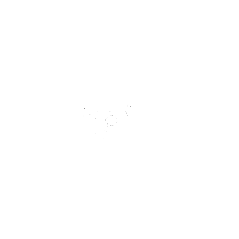 CC(C)(CCO)NC(=O)Oc1cnc(C2CC2)c(OCC2CC2)n1